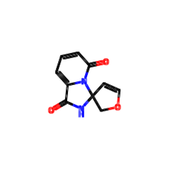 O=C1NC2(C=COC2)n2c1cccc2=O